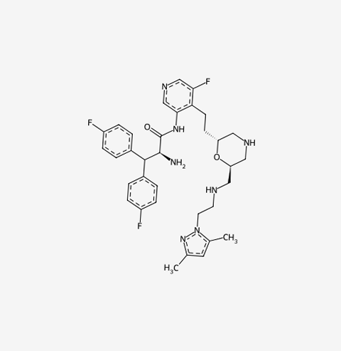 Cc1cc(C)n(CCNC[C@@H]2CNC[C@@H](CCc3c(F)cncc3NC(=O)[C@@H](N)C(c3ccc(F)cc3)c3ccc(F)cc3)O2)n1